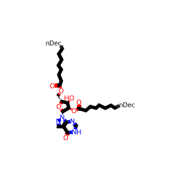 CCCCCCCCCCCCCCCCCC(=O)OC[C@H]1O[C@@H](n2ncc3c(=O)[nH]cnc32)[C@H](OC(=O)CCCCCCCCCCCCCCCCC)[C@@H]1O